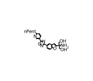 CCCCCc1ccc(-c2nc(-c3ccc4oc(C(N)(CO)CO)cc4c3)no2)cn1